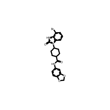 O=C(Nc1ccc2c(c1)OCO2)C1CCC(n2c(=O)[nH]c3c(Br)cccc32)CC1